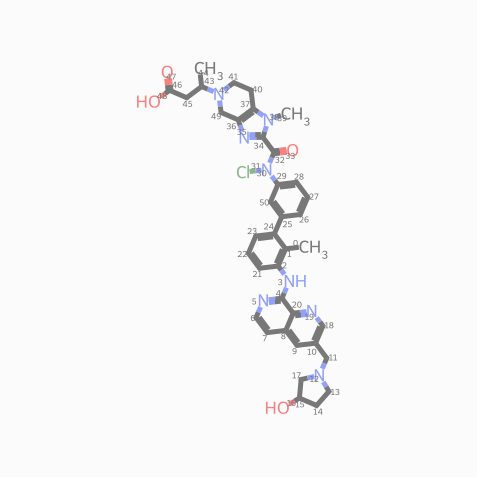 Cc1c(Nc2nccc3cc(CN4CCC(O)C4)cnc23)cccc1-c1cccc(N(Cl)C(=O)c2nc3c(n2C)CCN(C(C)CC(=O)O)C3)c1